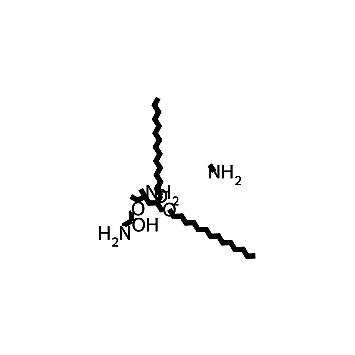 CCCCCCCCCCCCCCOCC(CC(C)(N)C(C)OCC(O)CN)OCCCCCCCCCCCCCC.CN